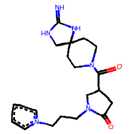 N=C1NCC2(CCN(C(=O)C3CC(=O)N(CCCn4cccc4)C3)CC2)N1